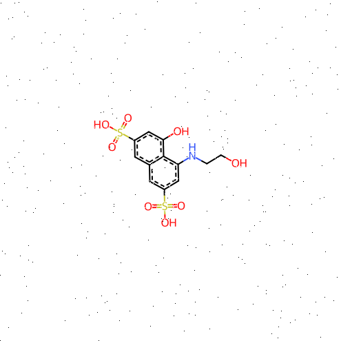 O=S(=O)(O)c1cc(O)c2c(NCCO)cc(S(=O)(=O)O)cc2c1